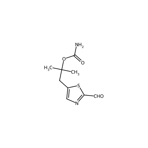 CC(C)(Cc1cnc(C=O)s1)OC(N)=O